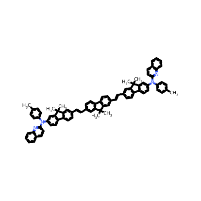 Cc1ccc(N(c2ccc3c(c2)C(C)(C)c2cc(/C=C/c4ccc5c(c4)C(C)(C)c4cc(/C=C/c6ccc7c(c6)C(C)(C)c6cc(N(c8ccc(C)cc8)c8ccc9ccccc9n8)ccc6-7)ccc4-5)ccc2-3)c2ccc3ccccc3n2)cc1